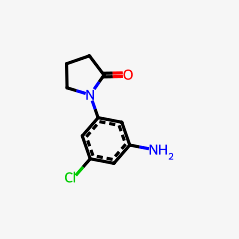 Nc1cc(Cl)cc(N2CCCC2=O)c1